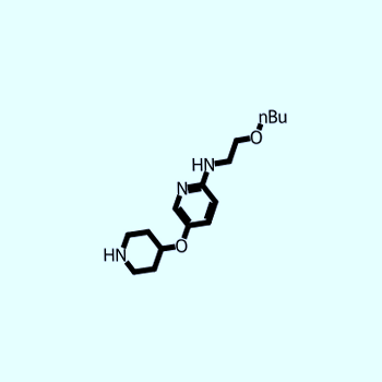 CCCCOCCNc1ccc(OC2CCNCC2)cn1